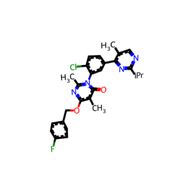 Cc1cnc(C(C)C)nc1-c1ccc(Cl)c(-n2c(C)nc(OCc3ccc(F)cc3)c(C)c2=O)c1